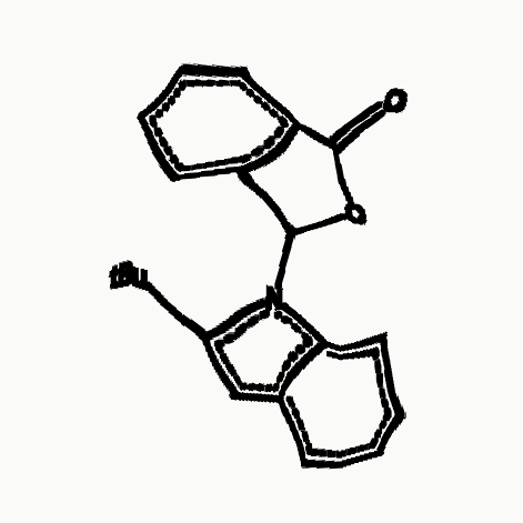 CC(C)(C)c1cc2ccccc2n1C1OC(=O)c2ccccc21